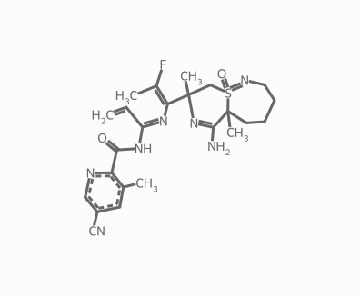 C=C/C(=N\C(=C(/C)F)C1(C)CS2(=O)=NCCCCC2(C)C(N)=N1)NC(=O)c1ncc(C#N)cc1C